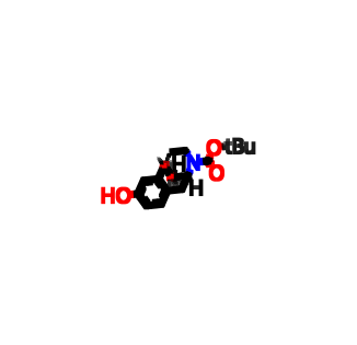 CC(C)(C)OC(=O)N1CC[C@@]23CCCC[C@@H]2[C@@H]1Cc1ccc(O)cc13